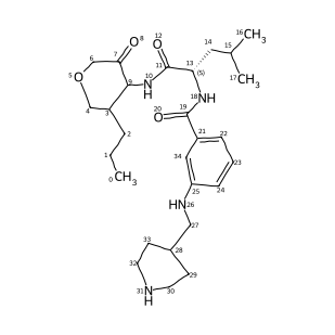 CCCC1COCC(=O)C1NC(=O)[C@H](CC(C)C)NC(=O)c1cccc(NCC2CCNCC2)c1